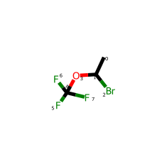 CC(Br)OC(F)(F)F